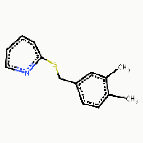 Cc1ccc(CSc2ccccn2)cc1C